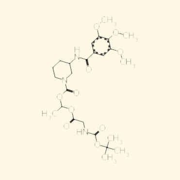 COc1cc(C(=O)NC2CCCN(C(=O)OC(C)OC(=O)CNC(=O)OC(C)(C)C)C2)cc(OC)c1OC